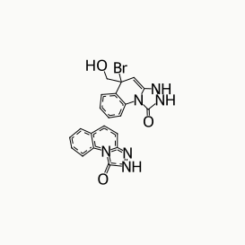 O=C1NNC2=CC(Br)(CO)c3ccccc3N12.O=c1[nH]nc2ccc3ccccc3n12